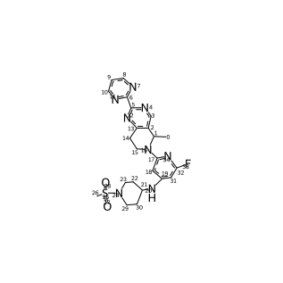 CC1c2cnc(-c3ncccn3)nc2CCN1c1cc(NC2CCN(S(C)(=O)=O)CC2)cc(F)n1